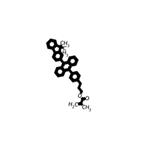 C=C(C)C(=O)OCCCc1ccc(-c2c3ccccc3c(-c3ccc4c(c3)C(C)(C)c3ccccc3-4)c3ccccc23)cc1